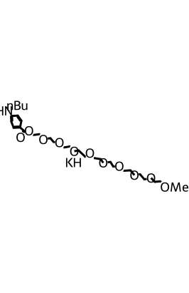 CCCCNc1ccc(C(=O)OCCOCCOCCOCCOCCOCCOCCOCCOCCOC)cc1.[KH]